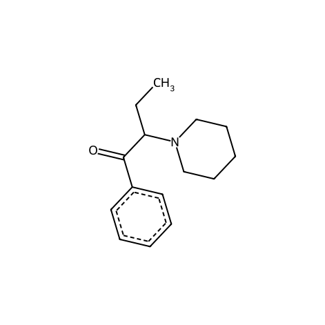 CCC(C(=O)c1ccccc1)N1CCCCC1